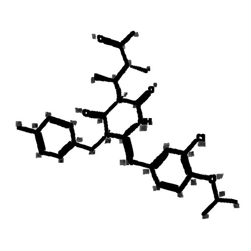 CC(=O)[C@H](C)[C@H](C)n1c(=O)[nH]/c(=N\c2ccc(OC(C)C)c(Cl)c2)n(Cc2ccc(C)cc2)c1=O